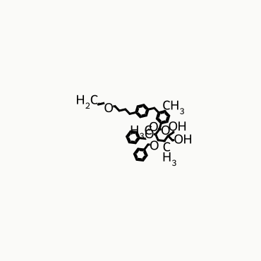 C=CCOCCCCc1ccc(Cc2cc([C@]3(OC)OC(CO)(CO)C(C)[C@H](OCc4ccccc4)C3OCc3ccccc3)ccc2C)cc1